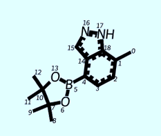 Cc1ccc(B2OC(C)(C)C(C)(C)O2)c2cn[nH]c12